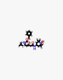 CC(C)C[C@@H](/C=C/CC(=O)NC1CC(C)(C)N([O])C(C)(C)C1)NC(=O)OCc1ccccc1